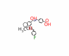 CC1(C)CCCc2cc(C(O)/C=C/c3ccc(C(=O)O)cc3)cc(OCc3ccc(F)cc3)c21